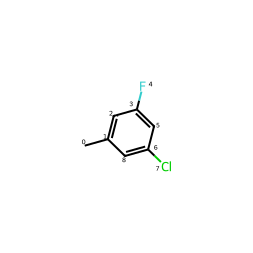 Cc1[c]c(F)cc(Cl)c1